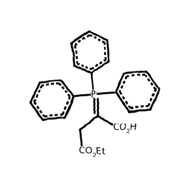 CCOC(=O)CC(C(=O)O)=P(c1ccccc1)(c1ccccc1)c1ccccc1